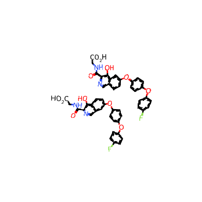 O=C(O)CNC(=O)c1ncc2cc(Oc3ccc(Oc4ccc(F)cc4)cc3)ccc2c1O.O=C(O)CNC(=O)c1ncc2ccc(Oc3ccc(Oc4ccc(F)cc4)cc3)cc2c1O